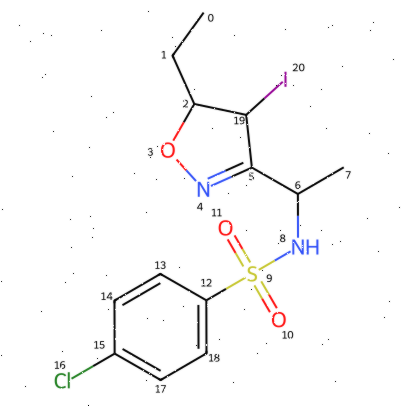 CCC1ON=C(C(C)NS(=O)(=O)c2ccc(Cl)cc2)C1I